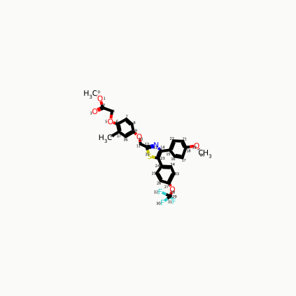 COC(=O)COc1ccc(OCc2nc(-c3ccc(OC)cc3)c(-c3ccc(OC(F)(F)F)cc3)s2)cc1C